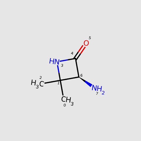 CC1(C)NC(=O)[C@H]1N